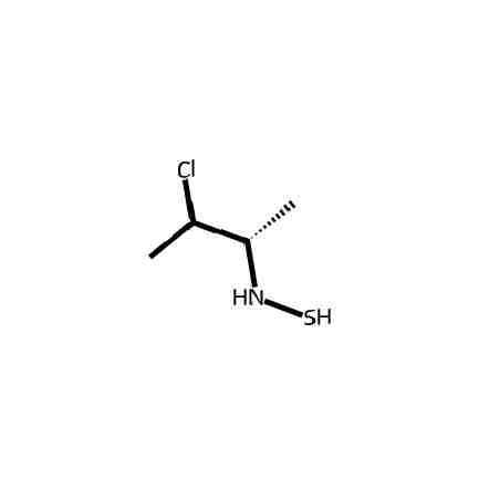 CC(Cl)[C@H](C)NS